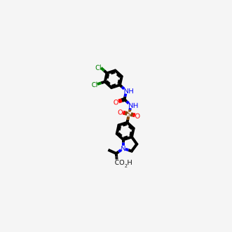 CC(C(=O)O)N1CCc2cc(S(=O)(=O)NC(=O)Nc3ccc(Cl)c(Cl)c3)ccc21